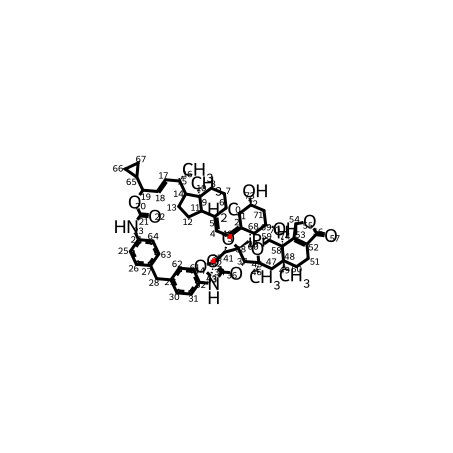 C=C1/C(=C\C=C2/CCC[C@@]3(C)C2CCC3[C@@H](C)/C=C/C(OC(=O)Nc2ccc(Cc3ccc(NC(=O)O[C@H]([C@@]4(C(C)C)O[C@H]4[C@@H]4CO4)[C@]4(C)C[C@@]5(C)CCC6=C(COC6=O)[C@@H]5CO4)cc3)cc2)C2CC2)C[C@@H](O)C[C@@H]1O